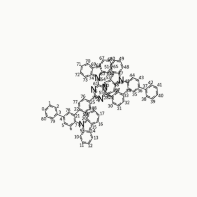 c1ccc(-c2ccc(-n3c4ccccc4c4ccccc43)c(-c3ccc(-c4nc(-c5cccc(-c6cc(-c7ccccc7)ccc6-n6c7ccccc7c7ccccc76)c5)nc(-n5c6ccccc6c6ccccc65)n4)cc3)c2)cc1